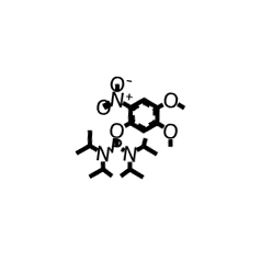 COc1cc(OP(N(C(C)C)C(C)C)N(C(C)C)C(C)C)c([N+](=O)[O-])cc1OC